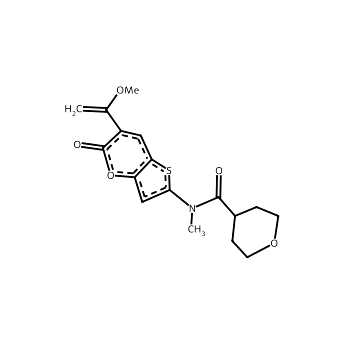 C=C(OC)c1cc2sc(N(C)C(=O)C3CCOCC3)cc2oc1=O